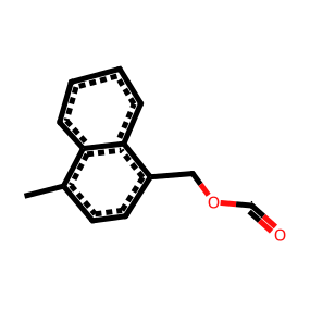 Cc1ccc(CO[C]=O)c2ccccc12